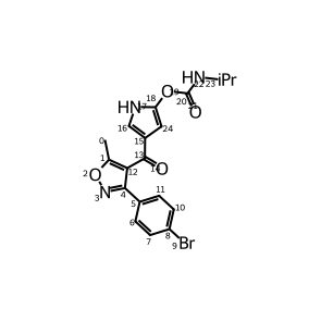 Cc1onc(-c2ccc(Br)cc2)c1C(=O)c1c[nH]c(OC(=O)NC(C)C)c1